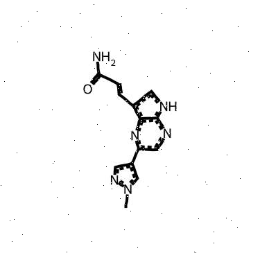 Cn1cc(-c2cnc3[nH]cc(C=CC(N)=O)c3n2)cn1